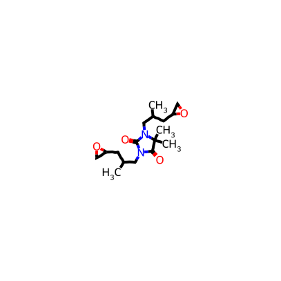 CC(CC1CO1)CN1C(=O)N(CC(C)CC2CO2)C(C)(C)C1=O